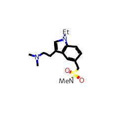 CCn1cc(CCN(C)C)c2cc(CS(=O)(=O)NC)ccc21